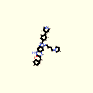 O=c1[nH]c2cc3nc(-c4ccc(-c5ccncc5)cc4)n(CCCCN4CCCC4)c3cc2nc1Cc1ccccc1